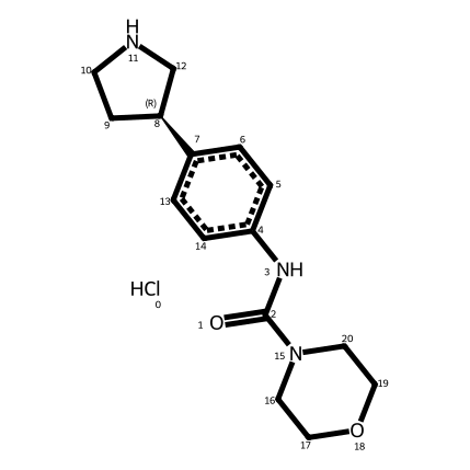 Cl.O=C(Nc1ccc([C@H]2CCNC2)cc1)N1CCOCC1